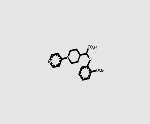 COc1ccccc1OC(C(=O)O)C1CCN(c2ccncc2)CC1